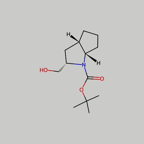 CC(C)(C)OC(=O)N1[C@H](CO)C[C@@H]2CCC[C@@H]21